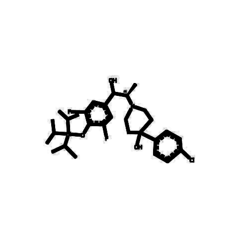 CC(C)[Si](Oc1c(F)cc(C(O)[C@@H](C)N2CCC(O)(c3ccc(Cl)cc3)CC2)cc1F)(C(C)C)C(C)C